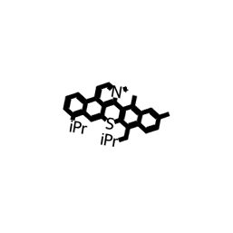 Cc1ccc2c(CC(C)C)c3c(c(C)c2c1)-c1c2c(cc4c(C(C)C)cccc4c2cc[n+]1C)S3